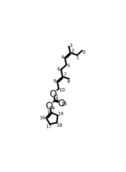 CCC(C)=CCC/C(C)=C/COC(=O)OC1=CCCC1